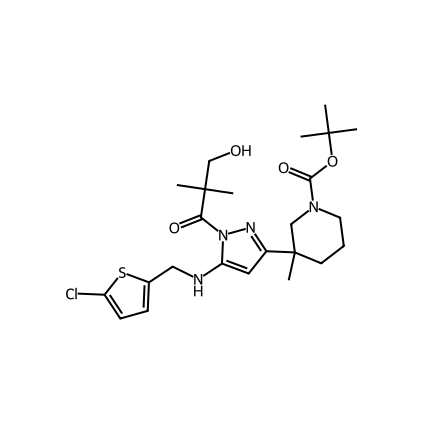 CC(C)(C)OC(=O)N1CCCC(C)(c2cc(NCc3ccc(Cl)s3)n(C(=O)C(C)(C)CO)n2)C1